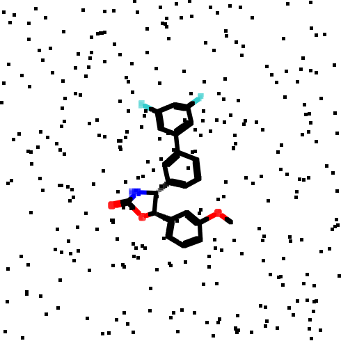 COc1cccc([C@H]2OC(=O)N[C@@H]2c2cccc(-c3cc(F)cc(F)c3)c2)c1